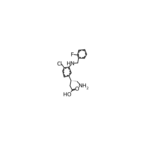 NC[C@H](CC(=O)O)c1ccc(Cl)c(NCc2ccccc2F)c1